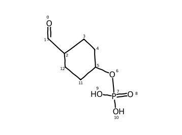 O=[C]C1CCC(OP(=O)(O)O)CC1